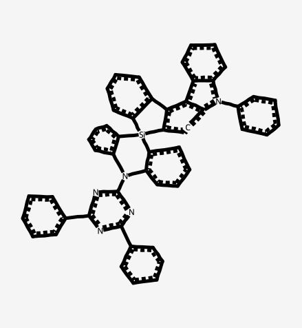 c1ccc(-c2nc(-c3ccccc3)nc(N3c4ccccc4[Si]4(c5ccccc5-c5c4ccc4c5c5ccccc5n4-c4ccccc4)c4ccccc43)n2)cc1